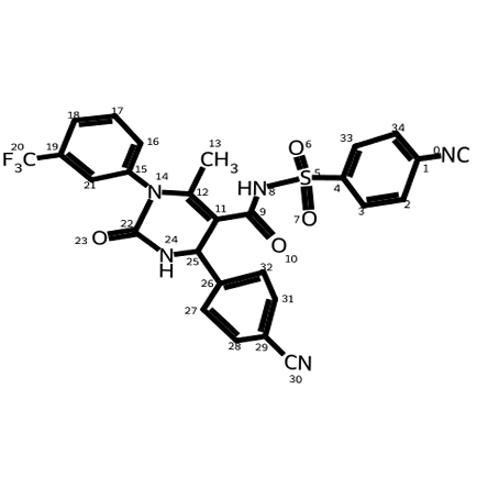 [C-]#[N+]c1ccc(S(=O)(=O)NC(=O)C2=C(C)N(c3cccc(C(F)(F)F)c3)C(=O)NC2c2ccc(C#N)cc2)cc1